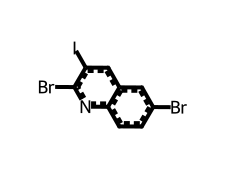 Brc1ccc2nc(Br)c(I)cc2c1